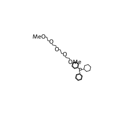 COCCOCCOCCOCCOC.c1ccc(P(c2ccccc2)C2CCCCC2)cc1